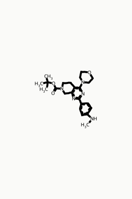 CNc1ccc(-c2nc3c(c(N4CCOCC4)n2)CCN(C(=O)OC(C)(C)C)C3)cc1